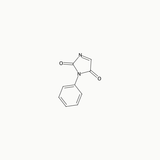 O=C1C=NC(=O)N1c1ccccc1